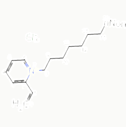 C=Cc1cccc[n+]1CCCCCCCCCCCCCCCC.[Cl-]